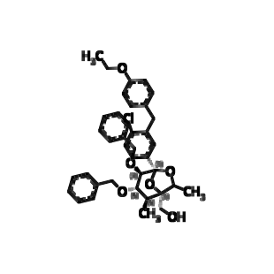 CCOc1ccc(Cc2cc([C@]34OC(C)[C@](CO)(O3)[C@@H](C)[C@H](OCc3ccccc3)[C@H]4OCc3ccccc3)ccc2Cl)cc1